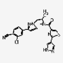 CC(Cn1ccc(-c2ccc(C#N)c(Cl)c2)n1)NC(=O)c1csc(-c2cn[nH]c2)n1